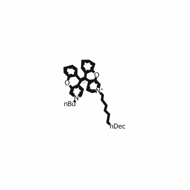 CCCCCCCCCCCCCCCC[n+]1ccc2c(c1)Oc1ccccc1/C2=C1\c2ccccc2Oc2c[n+](CCCC)ccc21